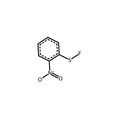 O=[N+]([O-])c1ccccc1SF